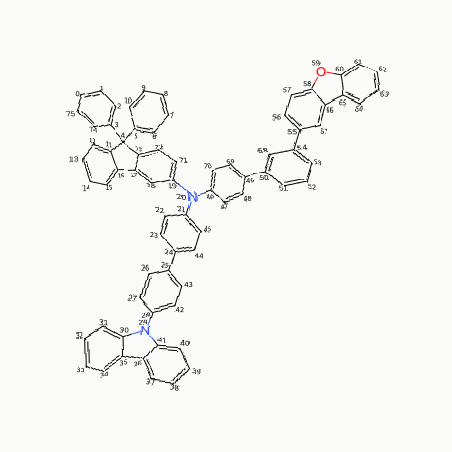 c1ccc(C2(c3ccccc3)c3ccccc3-c3cc(N(c4ccc(-c5ccc(-n6c7ccccc7c7ccccc76)cc5)cc4)c4ccc(-c5cccc(-c6ccc7oc8ccccc8c7c6)c5)cc4)ccc32)cc1